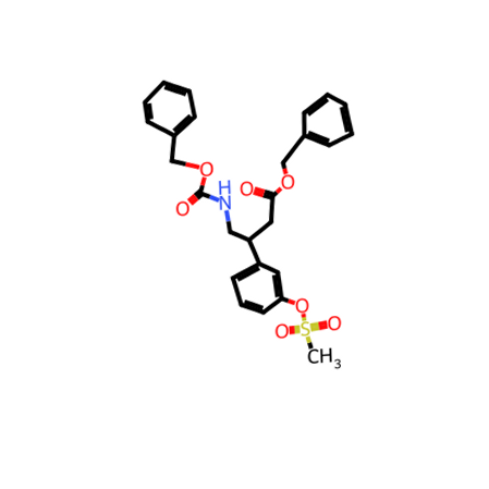 CS(=O)(=O)Oc1cccc(C(CNC(=O)OCc2ccccc2)CC(=O)OCc2ccccc2)c1